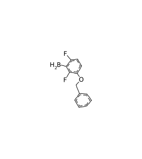 Bc1c(F)ccc(OCc2ccccc2)c1F